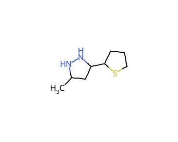 CC1CC(C2CCCS2)NN1